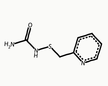 NC(=O)NSCc1ccccn1